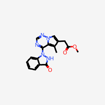 COC(=O)Cc1cn2ncnc(-n3[nH]c(=O)c4ccccc43)c2c1C